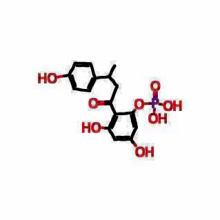 CC(CC(=O)c1c(O)cc(O)cc1OP(=O)(O)O)c1ccc(O)cc1